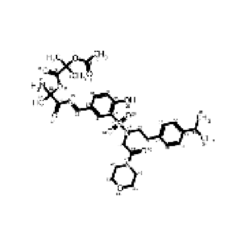 CC(=O)OC(C)(C)C(=O)OC(N)(O)C(=O)N=Cc1ccc(O)c(S(=O)(=O)N(CCc2ccc(C(C)C)cc2)CC(=O)N2CCOCC2)c1